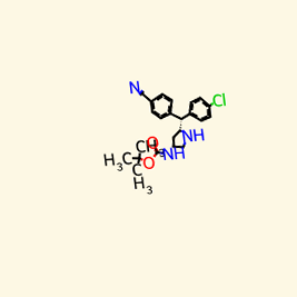 CC(C)(C)OC(=O)N[C@H]1CNC([C@@H](c2ccc(Cl)cc2)c2ccc(C#N)cc2)C1